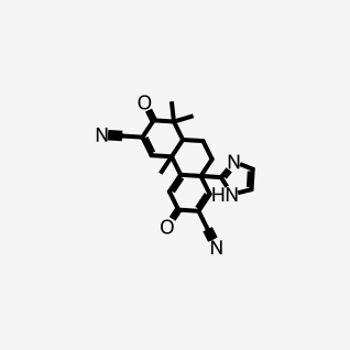 CC1(C)C(=O)C(C#N)=CC2(C)C3=CC(=O)C(C#N)=CC3(c3ncc[nH]3)CCC12